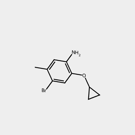 Cc1cc(N)c(OC2CC2)cc1Br